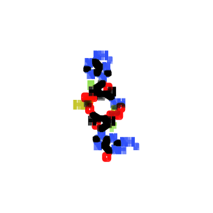 Nc1nc2c(ncn2[C@@H]2O[C@@H]3CO[P@@](=O)(S)O[C@H]4[C@@H](F)[C@H](n5cnc6c(N)ncnc65)O[C@@H]4CNS(=O)(=O)O[C@H]3[C@H]2F)c(=O)[nH]1